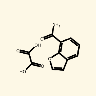 NC(=O)c1cccc2ccoc12.O=C(O)C(=O)O